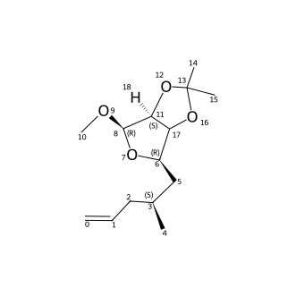 C=CC[C@H](C)C[C@H]1O[C@@H](OC)[C@H]2OC(C)(C)OC12